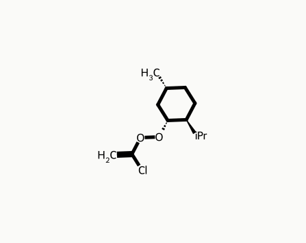 C=C(Cl)OO[C@@H]1C[C@H](C)CC[C@H]1C(C)C